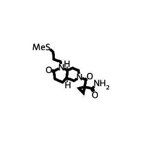 CSCCCN1C(=O)CC[C@@H]2CN(C(=O)C3(C(N)=O)CC3)CC[C@@H]21